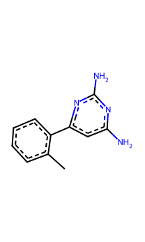 Cc1ccccc1-c1cc(N)nc(N)n1